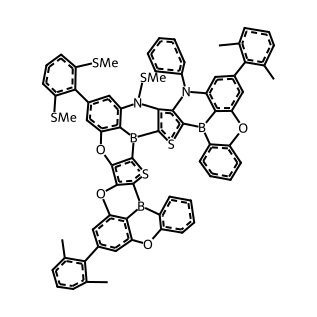 CSc1cccc(SC)c1-c1cc2c3c(c1)N(SC)c1c(sc4c1N(c1ccccc1)c1cc(-c5c(C)cccc5C)cc5c1B4c1ccccc1O5)B3c1sc3c(c1O2)Oc1cc(-c2c(C)cccc2C)cc2c1B3c1ccccc1O2